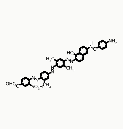 Cc1cc(N=Nc2ccc3cc(NOc4ccc(N)cc4)ccc3c2O)c(C)cc1N=Nc1ccc(N=Nc2ccc(OC=O)cc2S(=O)(=O)O)c(C)c1